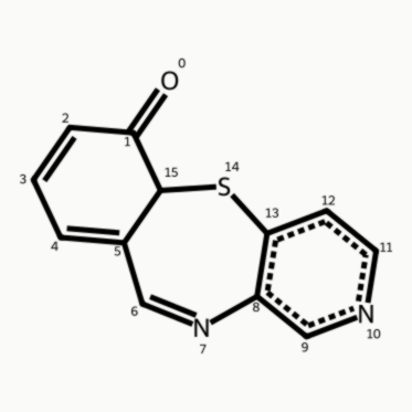 O=C1C=CC=C2C=Nc3cnccc3SC12